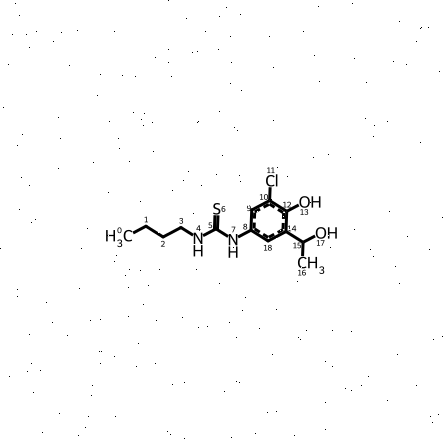 CCCCNC(=S)Nc1cc(Cl)c(O)c(C(C)O)c1